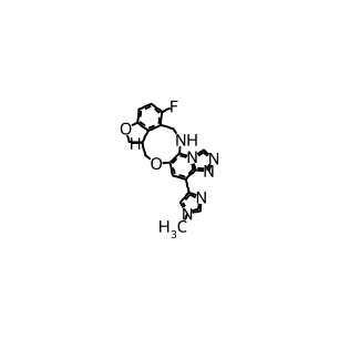 Cn1cnc(-c2cc3c(n4cnnc24)NCc2c(F)ccc4c2[C@H](CO4)CO3)c1